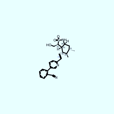 C[C@H]1[C@H](/C=C/c2ccc(-c3ccccc3C#N)cn2)[C@@H]2[C@@H](CO)S(=O)(=O)N[C@@H]2C[C@@H]1C